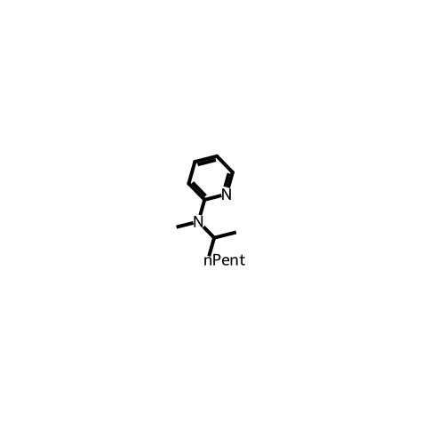 CCCCCC(C)N(C)c1ccccn1